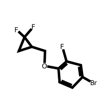 Fc1cc(Br)ccc1OCC1CC1(F)F